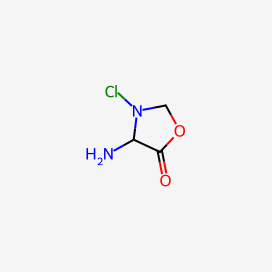 NC1C(=O)OCN1Cl